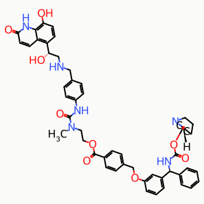 CN(CCOC(=O)c1ccc(COc2cccc([C@@H](NC(=O)O[C@H]3CN4CCC3CC4)c3ccccc3)c2)cc1)C(=O)Nc1ccc(CNC[C@H](O)c2ccc(O)c3[nH]c(=O)ccc23)cc1